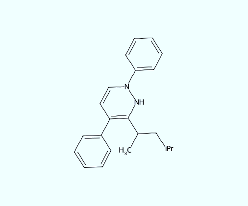 CC(C)CC(C)C1=C(c2ccccc2)C=CN(c2ccccc2)N1